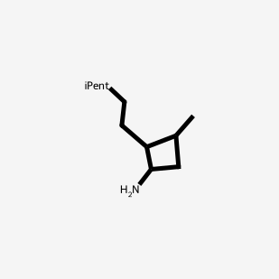 CCCC(C)CCC1C(C)CC1N